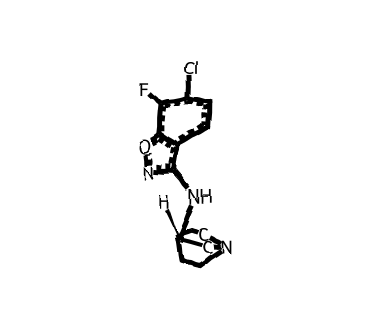 Fc1c(Cl)ccc2c(N[C@@H]3CN4CCC3CC4)noc12